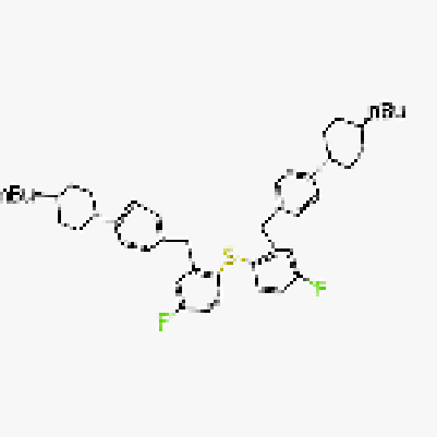 CCCC[C@H]1CC[C@H](c2ccc(Cc3cc(F)ccc3Sc3ccc(F)cc3Cc3ccc([C@H]4CC[C@H](CCCC)CC4)cc3)cc2)CC1